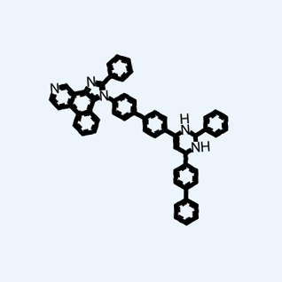 C1=C(c2ccc(-c3ccc(-n4c(-c5ccccc5)nc5c6cnccc6c6ccccc6c54)cc3)cc2)NC(c2ccccc2)NC1c1ccc(-c2ccccc2)cc1